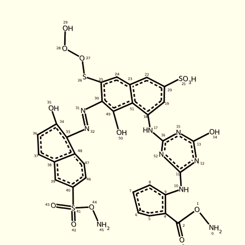 NOC(=O)c1ccccc1Nc1nc(O)nc(Nc2cc(S(=O)(=O)O)cc3cc(SOOO)c(N=Nc4c(O)ccc5cc(S(=O)(=O)ON)ccc45)c(O)c23)n1